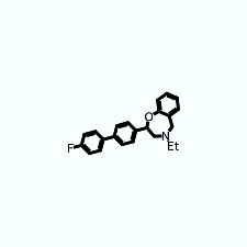 CCN1Cc2ccccc2OC(c2ccc(-c3ccc(F)cc3)cc2)C1